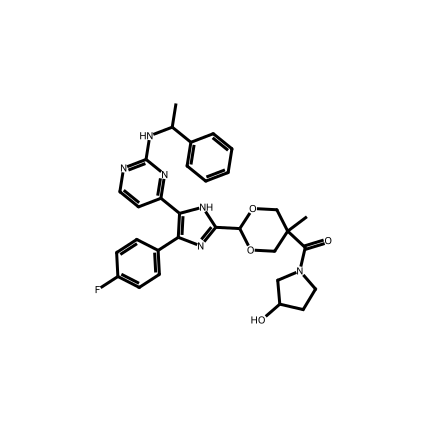 CC(Nc1nccc(-c2[nH]c(C3OCC(C)(C(=O)N4CCC(O)C4)CO3)nc2-c2ccc(F)cc2)n1)c1ccccc1